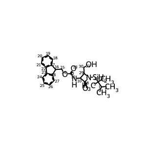 CC(C)C(C)(C)[SiH2]N1C(=O)C(NC(=O)OCC2c3ccccc3-c3ccccc32)C1CO